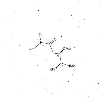 CCC[C@H](NC)[C@@H](CC(=O)N(CC)CCC)OC